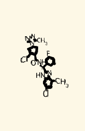 Cc1cc(Cl)cc2[nH]c([C@@H](CNC(=O)c3ccc(-n4cnnc4C)cc3Cl)c3cccc(F)c3)nc12